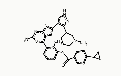 Cc1c(NC(=O)c2ccc(C3CC3)cc2)cccc1-c1nc(N)nc2[nH]c(-c3c[nH]nc3C3CCCN(C)C3)cc12